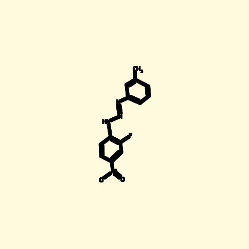 Cc1cccc(/N=N/Nc2ccc([N+](=O)[O-])cc2F)c1